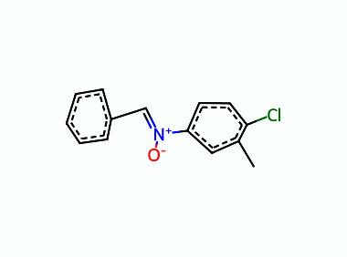 Cc1cc([N+]([O-])=Cc2ccccc2)ccc1Cl